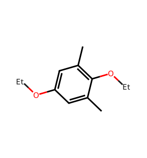 CCOc1cc(C)c(OCC)c(C)c1